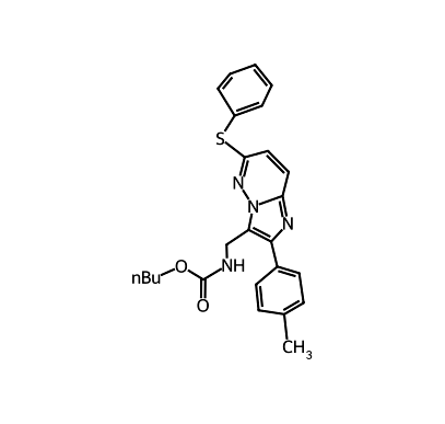 CCCCOC(=O)NCc1c(-c2ccc(C)cc2)nc2ccc(Sc3ccccc3)nn12